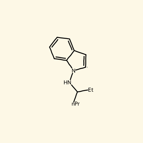 CCCC(CC)Nn1[c]cc2ccccc21